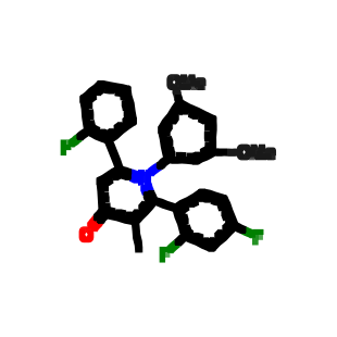 COc1cc(OC)cc(-n2c(-c3ccccc3F)cc(=O)c(C)c2-c2ccc(F)cc2F)c1